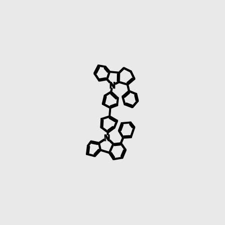 C1=C(c2ccccc2)c2c(c3ccccc3n2-c2ccc(-c3ccc(-n4c5ccccc5c5cccc(-c6ccccc6)c54)cc3)cc2)CC1